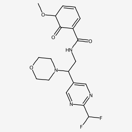 COC1C=CC=C(C(=O)NCC(c2cnc(C(F)F)nc2)N2CCOCC2)C1=O